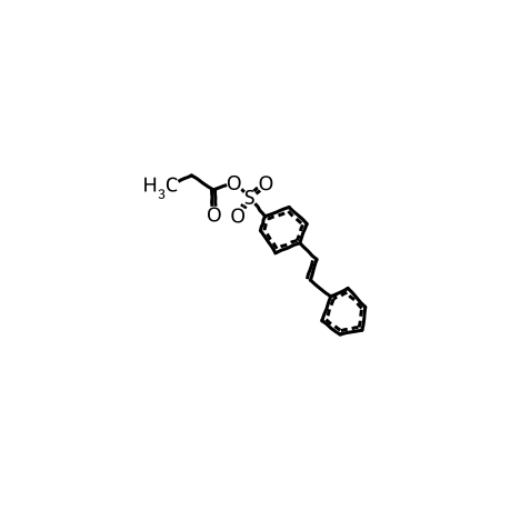 CCC(=O)OS(=O)(=O)c1ccc(C=Cc2ccccc2)cc1